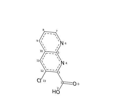 O=C(O)c1nc2ncccc2cc1Cl